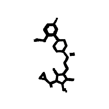 CCCOc1ccc(F)cc1N1CCN(CCCN2C(=O)C(C)C(NC3CC3)C2=O)CC1.Cl